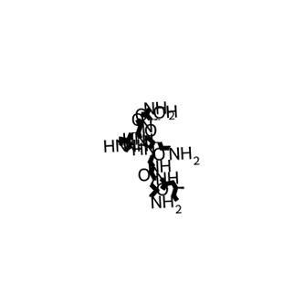 CC[C@H](C)CC(=O)N[C@@H](CCCN)C(=O)NCC(=O)N[C@@H](CCCN)C(=O)N[C@H](CC1=CNCN1)C(=O)N[C@@H](CO)C(N)=O